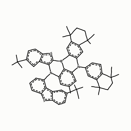 Cc1cc2c3c(c1)N(c1cccc4sc5ccc(C(C)(C)C)cc5c14)c1c(sc4ccc(C(C)(C)C)cc14)B3c1cc3c(cc1N2c1ccc2c(c1)C(C)(C)CCC2(C)C)C(C)(C)CCC3(C)C